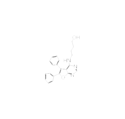 OCCCCNc1ncnc2oc(-c3ccccc3)c(-c3ccccc3)c12